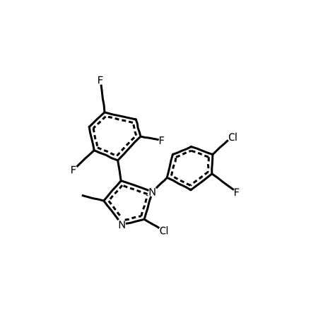 Cc1nc(Cl)n(-c2ccc(Cl)c(F)c2)c1-c1c(F)cc(F)cc1F